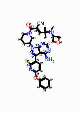 CN(C1COC1)C(C)(C)C=C(C#N)C(=O)N1CCCC(n2nc(-c3ccc(Oc4ccccc4)nc3F)c3c(N)ncnc32)C1